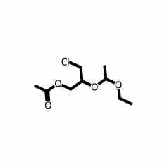 CCOC(C)OC(CCl)COC(C)=O